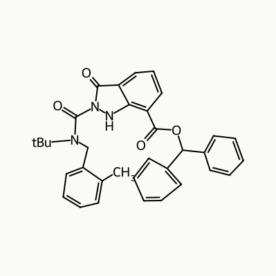 Cc1ccccc1CN(C(=O)n1[nH]c2c(C(=O)OC(c3ccccc3)c3ccccc3)cccc2c1=O)C(C)(C)C